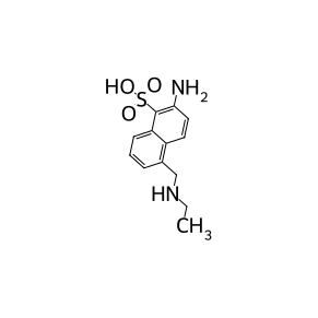 CCNCc1cccc2c(S(=O)(=O)O)c(N)ccc12